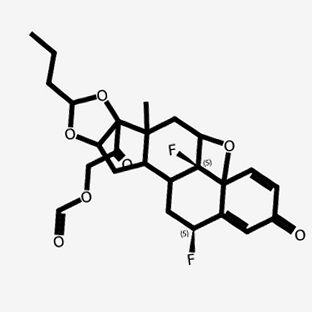 CCCC1OC2CC3C4C[C@H](F)C5=CC(=O)C=CC56OC(CC3(C)C2(C(=O)COC=O)O1)[C@@]46F